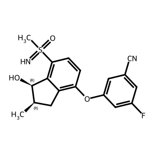 C[C@@H]1Cc2c(Oc3cc(F)cc(C#N)c3)ccc(S(C)(=N)=O)c2[C@@H]1O